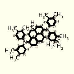 CC1=CC(N(C2=CC(C)C(C)C=C2)c2ccc3c4c2CCC2(C)C=CC(N(C5=CCC(C)(C)C(C)=C5)c5ccc(C)c(C)c5)=C(C(I)C3)C42)CC[C@@H]1C